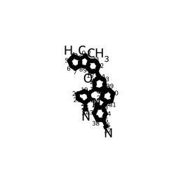 CC1(C)c2ccccc2-c2c1ccc1c2oc2c(-c3cccc(C#N)c3-n3c4ccccc4c4cc(C#N)ccc43)cccc21